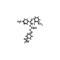 Cc1ccc(C(=O)N(Cc2ccccc2C)CC(O)COc2ccc(C(F)(F)F)cc2)cn1